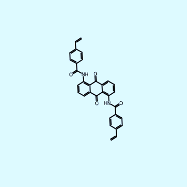 C=Cc1ccc(C(=O)Nc2cccc3c2C(=O)c2cccc(NC(=O)c4ccc(C=C)cc4)c2C3=O)cc1